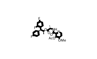 COc1ccnc(C(=O)N[C@@H](C)C(=O)O[C@@H](C)[C@@H](c2ccc(F)cc2)c2ccc(F)cc2F)c1OC(C)=O